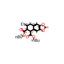 CCCCOC(=O)C1c2cc3c(cc2CC(CC)C1C(=O)OCCCC)OCO3